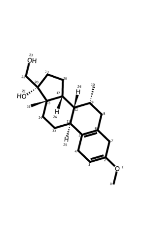 COC1=CCC2=C(C1)C[C@@H](C)[C@@H]1[C@@H]2CC[C@@]2(C)[C@@H]1CC[C@]2(O)CO